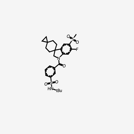 CC(C)(C)NS(=O)(=O)c1cccc(C(=O)N2CC3(CCC4(CC4)CC3)c3cc(S(C)(=O)=O)c(F)cc32)c1